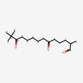 CC(C=O)CCCC(=O)CCCCCC(=O)C(C)(C)C